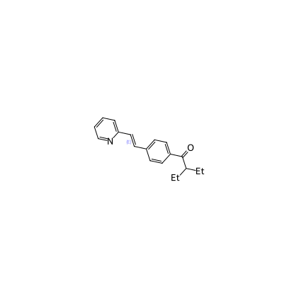 CCC(CC)C(=O)c1ccc(/C=C/c2ccccn2)cc1